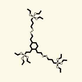 CCO[Si](CCCSSCCC1CCC(CCSSCCC[Si](OCC)(OCC)OCC)C(CC[Si](OCC)(OCC)OCC)C1)(OCC)OCC